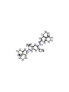 N#Cc1cc(/C=C/c2cc3c4c(c2)CCCN4CCC3)c(C#N)cc1/C=C/c1cc2c3c(c1)CCCN3CCC2